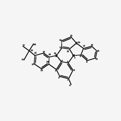 Cc1cc2c3c(c1)-n1c4ccccc4n4ccc(c14)B3c1cc(C(C)(C)C)ccc1-2